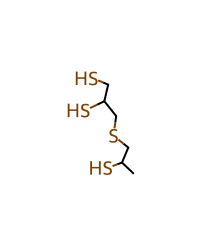 CC(S)CSCC(S)CS